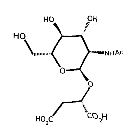 CC(=O)N[C@H]1[C@@H](O[C@@H](CC(=O)O)C(=O)O)O[C@H](CO)[C@@H](O)[C@@H]1O